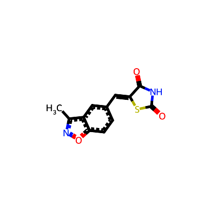 Cc1noc2ccc(/C=C3\SC(=O)NC3=O)cc12